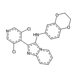 Clc1cncc(Cl)c1-c1nc2ccccn2c1Nc1ccc2c(c1)OCCO2